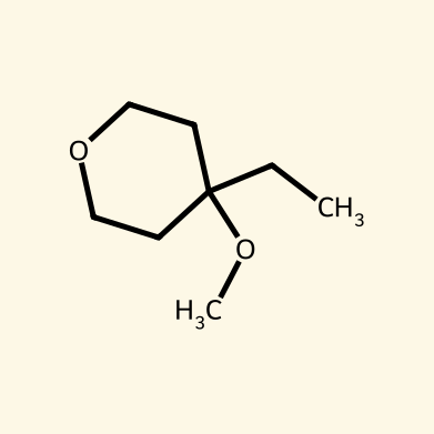 CCC1(OC)CCOCC1